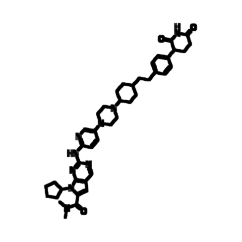 CN(C)C(=O)c1cc2cnc(Nc3ccc(N4CCN(C5CCC(CCc6ccc(C7CCC(=O)NC7=O)cc6)CC5)CC4)cn3)nc2n1C1CCCC1